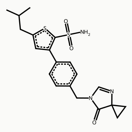 CC(C)Cc1cc(-c2ccc(CN3C=NC4(CC4)C3=O)cc2)c(S(N)(=O)=O)s1